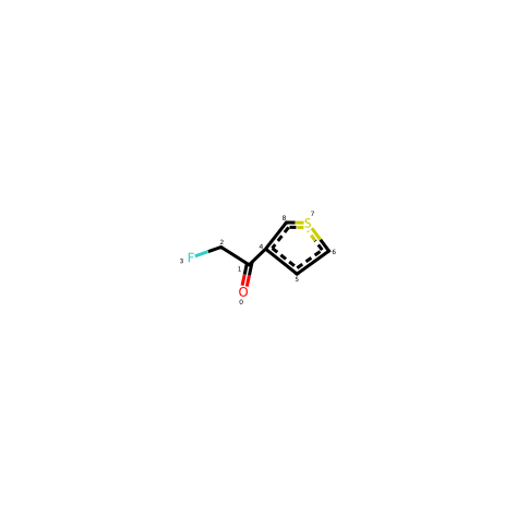 O=C(CF)c1ccsc1